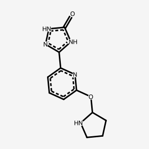 O=c1[nH]nc(-c2cccc(OC3CCCN3)n2)[nH]1